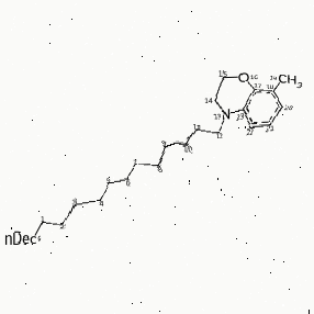 CCCCCCCCCCCCCCCCCCCCCCN1CCOc2c(C)cccc21